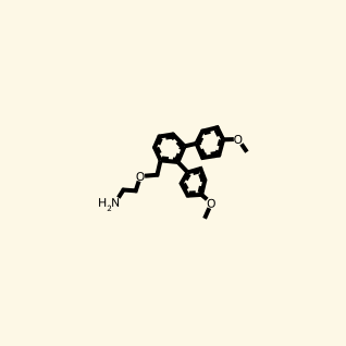 COc1ccc(-c2cccc(COCCN)c2-c2ccc(OC)cc2)cc1